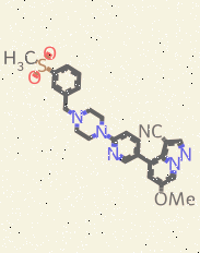 COc1cc(-c2ccc(N3CCN(Cc4cccc(S(C)(=O)=O)c4)CC3)nc2)c2c(C#N)cnn2c1